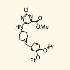 CCOc1cc(CN2CCC(Nc3cc(C(=O)OC)nc(Cl)n3)CC2)ccc1OC(C)C